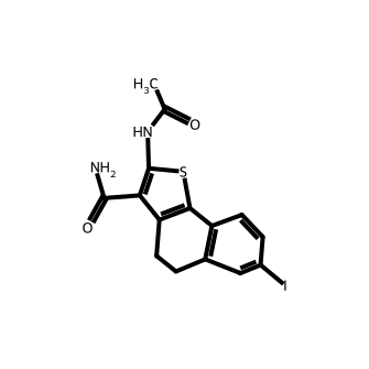 CC(=O)Nc1sc2c(c1C(N)=O)CCc1cc(I)ccc1-2